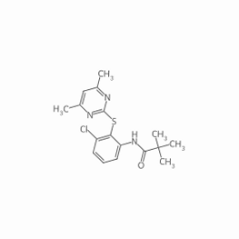 Cc1cc(C)nc(Sc2c(Cl)cccc2NC(=O)C(C)(C)C)n1